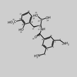 NCc1cc(CN)cc(C(=O)N[C@@H](Cc2cccc(C(=O)O)c2O)B(O)O)c1